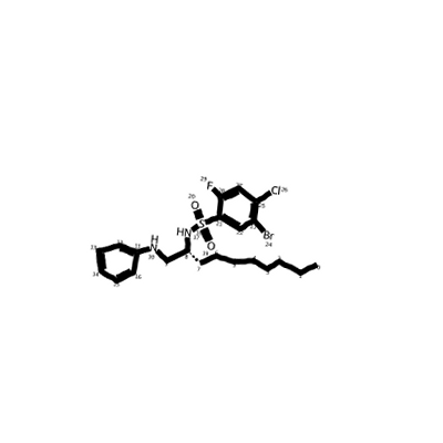 CCCCCCCC[C@H](CNc1ccccc1)NS(=O)(=O)c1cc(Br)c(Cl)cc1F